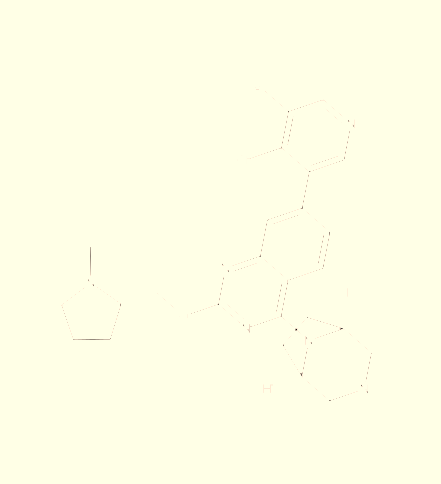 CN1CCC[C@H]1COc1nc(N2[C@@H]3CC[C@H]2CNC3)c2ccc(-c3cncc(Br)c3Cl)cc2n1